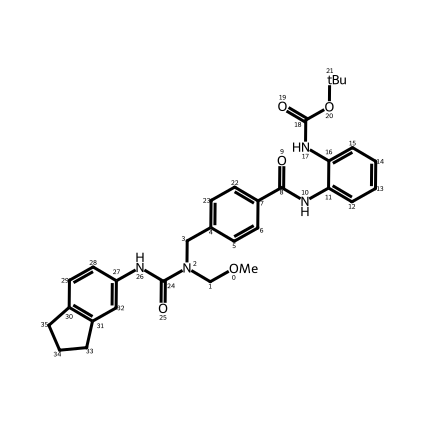 COCN(Cc1ccc(C(=O)Nc2ccccc2NC(=O)OC(C)(C)C)cc1)C(=O)Nc1ccc2c(c1)CCC2